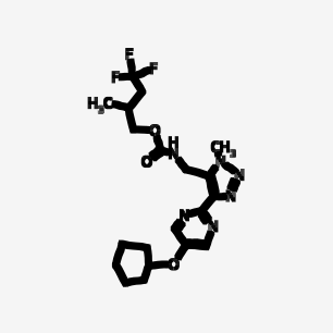 CC(COC(=O)NCc1c(-c2ncc(OC3CCCCC3)cn2)nnn1C)CC(F)(F)F